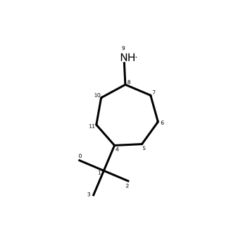 CC(C)(C)C1CCCC([NH])CC1